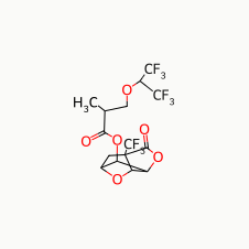 CC(COC(C(F)(F)F)C(F)(F)F)C(=O)OC1C2CC3(C(F)(F)F)C(=O)OC1C3O2